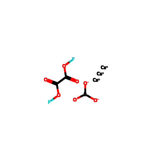 O=C(OF)C(=O)OF.[Cs+].[Cs+].[Cs+].[O-]B([O-])[O-]